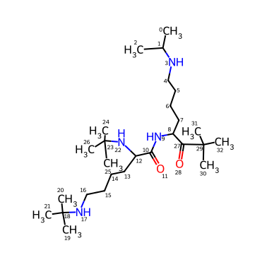 CC(C)NCCCCC(NC(=O)C(CCCCNC(C)(C)C)NC(C)(C)C)C(=O)C(C)(C)C